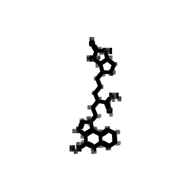 NC(=O)C(CCCC1SCC2NC(=O)NC21)CCn1cnc2c(N)nc3ccccc3c21